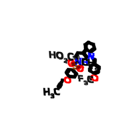 CC#CCOc1ccc(S(=O)(=O)N[C@@H](Cc2c(C)n(Cc3ccc(OC(F)(F)F)cc3)c3ccccc23)C(=O)O)cc1